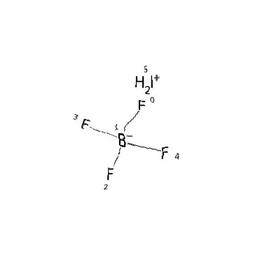 F[B-](F)(F)F.[IH2+]